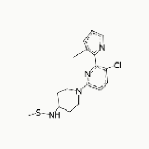 CSNC1CCN(c2ccc(Cl)c(-c3ncccc3C)n2)CC1